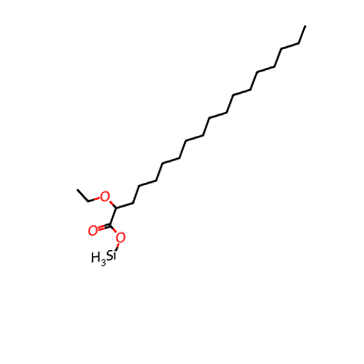 CCCCCCCCCCCCCCCCC(OCC)C(=O)O[SiH3]